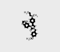 CCCN(C)c1ccc(C2CN(Cc3ccc(OC)cc3)C(=O)N2c2ccc3nc[nH]c3c2)cc1